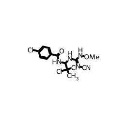 CONC(=NC#N)NC(NC(=O)c1ccc(Cl)cc1)C(C)(Cl)Cl